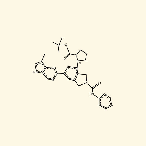 Cc1c[nH]c2ncc(-c3cc4c(c([C@@H]5CCCN5C(=O)OC(C)(C)C)c3)CN(C(=O)Nc3cccnc3)C4)cc12